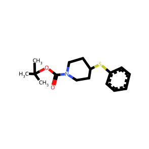 CC(C)(C)OC(=O)N1CCC(Sc2ccccc2)CC1